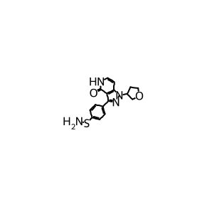 NSc1ccc(-c2nn(C3CCOC3)c3cc[nH]c(=O)c23)cc1